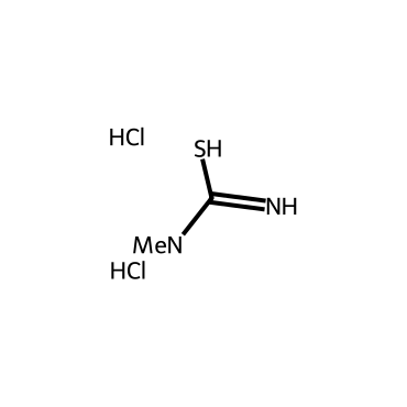 CNC(=N)S.Cl.Cl